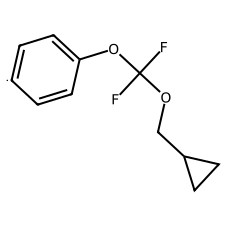 FC(F)(OCC1CC1)Oc1cc[c]cc1